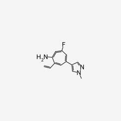 C=CC1=CC(c2cnn(C)c2)=CC(F)=C=C1N